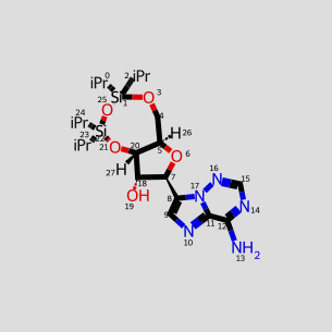 CC(C)[Si]1(C(C)C)OC[C@H]2O[C@@H](c3cnc4c(N)ncnn34)[C@H](O)[C@@H]2O[Si](C(C)C)(C(C)C)O1